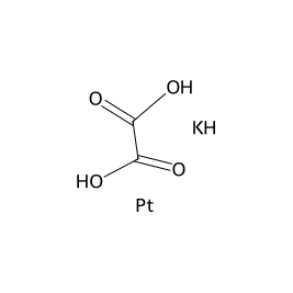 O=C(O)C(=O)O.[KH].[Pt]